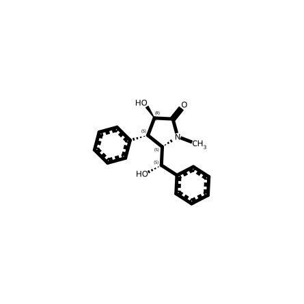 CN1C(=O)[C@H](O)[C@@H](c2ccccc2)[C@H]1[C@@H](O)c1ccccc1